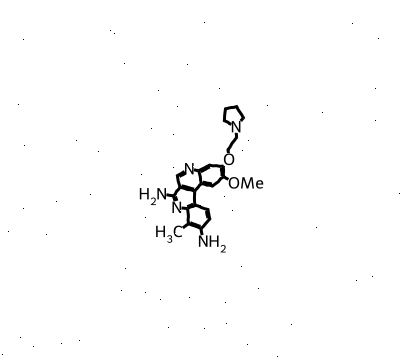 COc1cc2c(cc1OCCN1CCCC1)ncc1c(N)nc3c(C)c(N)ccc3c12